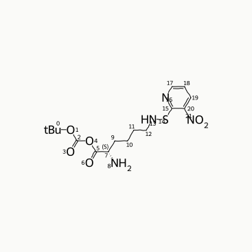 CC(C)(C)OC(=O)OC(=O)[C@@H](N)CCCCNSc1ncccc1[N+](=O)[O-]